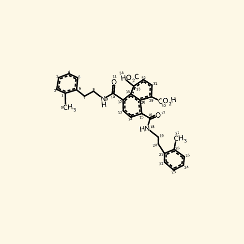 Cc1ccccc1CCNC(=O)c1ccc(C(=O)NCCc2ccccc2C)c2c(C(=O)O)ccc(C(=O)O)c12